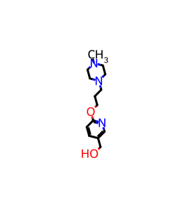 CN1CCN(CCCOc2ccc(CO)cn2)CC1